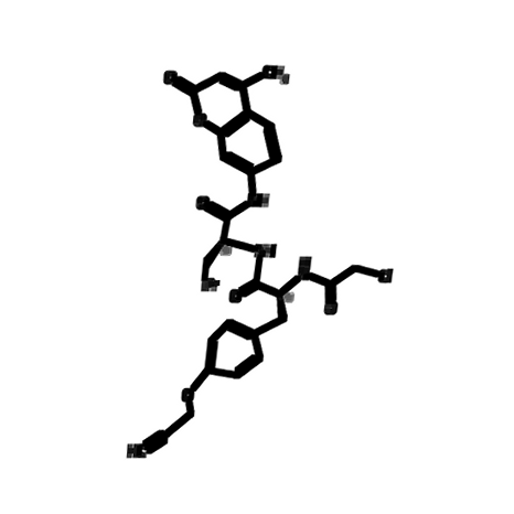 C#CCOc1ccc(C[C@H](NC(=O)CCl)C(=O)N[C@@H](CC(C)C)C(=O)Nc2ccc3c(C)cc(=O)oc3c2)cc1